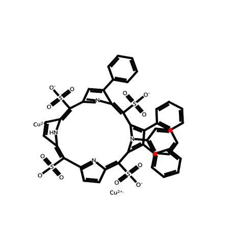 O=S(=O)([O-])c1c2nc(c(S(=O)(=O)[O-])c3c(-c4ccccc4)c(-c4ccccc4)c(c(S(=O)(=O)[O-])c4nc(c(S(=O)(=O)[O-])c5ccc1[nH]5)C=C4c1ccccc1)n3-c1ccccc1)C=C2.[Cu+2].[Cu+2]